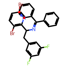 Fc1cc(F)cc(CC(N=C(c2ccccc2)c2ccccc2)c2nc(Br)ccc2Br)c1